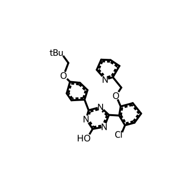 CC(C)(C)COc1ccc(-c2nc(O)nc(-c3c(Cl)cccc3OCc3ccccn3)n2)cc1